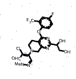 CN/N=C\C(=C(\Cl)C=O)N1CCc2c(nc(C(O)CO)nc2Oc2ccc(F)cc2C(F)(F)F)C1